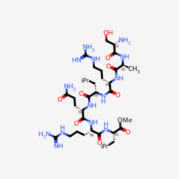 COC(=O)[C@H](CC(C)C)NC(=O)[C@H](CCCNC(=N)N)NC(=O)[C@H](CCC(N)=O)NC(=O)[C@H](CC(C)C)NC(=O)[C@H](CCCNC(=N)N)NC(=O)[C@H](C)NC(=O)[C@@H](N)CO